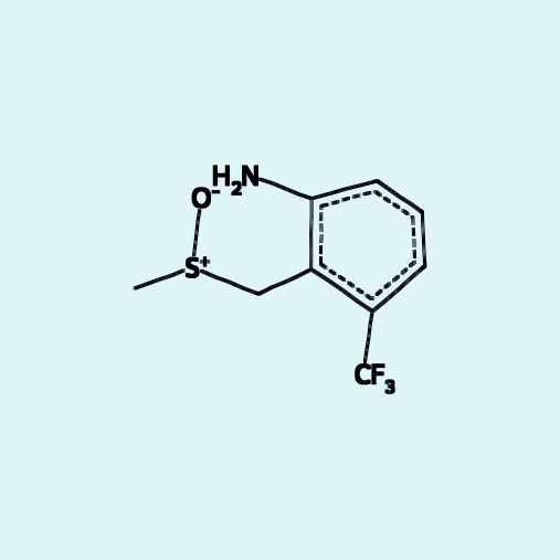 C[S+]([O-])Cc1c(N)cccc1C(F)(F)F